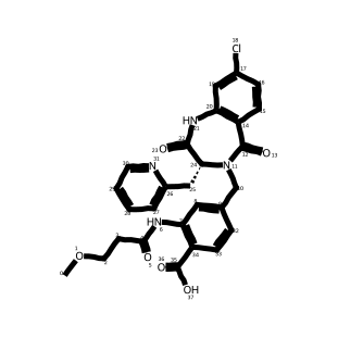 COCCC(=O)Nc1cc(CN2C(=O)c3ccc(Cl)cc3NC(=O)[C@H]2Cc2ccccn2)ccc1C(=O)O